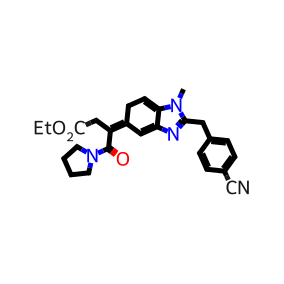 CCOC(=O)CC(C(=O)N1CCCC1)=C1C=c2nc(Cc3ccc(C#N)cc3)n(C)c2=CC1